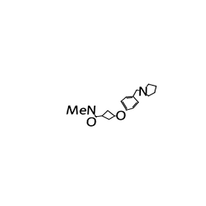 CNC(=O)C1CC(Oc2ccc(CN3CCCC3)cc2)C1